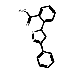 COC(=O)c1ccccc1C1CC(c2ccccc2)=NO1